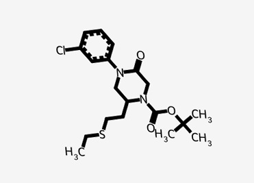 CCSCCC1CN(c2cccc(Cl)c2)C(=O)CN1C(=O)OC(C)(C)C